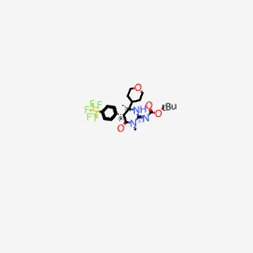 CN1C(=O)[C@H](c2ccc(S(F)(F)(F)(F)F)cc2)[C@@](C)(C2CCOCC2)N/C1=N\C(=O)OC(C)(C)C